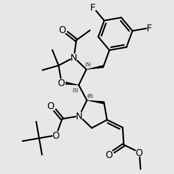 COC(=O)C=C1C[C@H]([C@H]2OC(C)(C)N(C(C)=O)[C@H]2Cc2cc(F)cc(F)c2)N(C(=O)OC(C)(C)C)C1